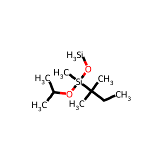 CCC(C)(C)[Si](C)(O[SiH3])OC(C)C